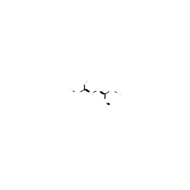 C=N/C(=N\N=C(/N)ON)ON